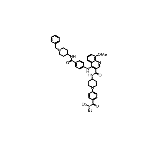 CCN(CC)C(=O)c1ccc(N2CCC(NC(=O)c3cnc4c(OC)cccc4c3Nc3ccc(C(=O)NC4CCN(Cc5ccccc5)CC4)cc3)CC2)cc1